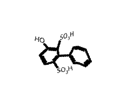 O=S(=O)(O)c1ccc(O)c(S(=O)(=O)O)c1-c1ccccc1